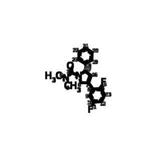 CN(C)C(=O)N1CC(c2cc(F)ccc2F)=C[C@H]1c1ccccc1